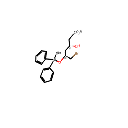 CC(C)(C)[Si](O[C@H](CBr)C[C@@H](O)CC(=O)O)(c1ccccc1)c1ccccc1